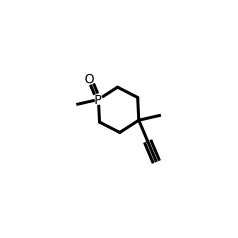 C#CC1(C)CCP(C)(=O)CC1